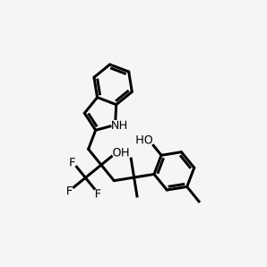 Cc1ccc(O)c(C(C)(C)CC(O)(Cc2cc3ccccc3[nH]2)C(F)(F)F)c1